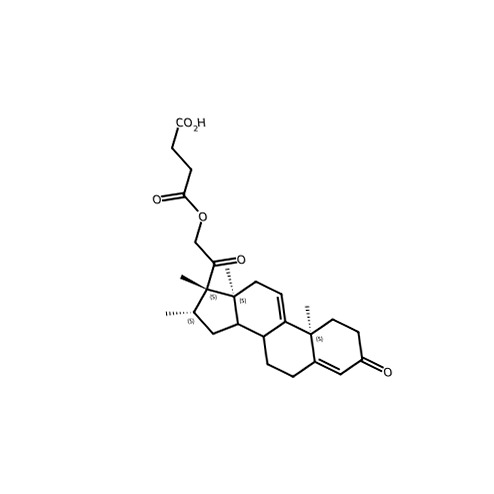 C[C@H]1CC2C3CCC4=CC(=O)CC[C@]4(C)C3=CC[C@]2(C)[C@@]1(C)C(=O)COC(=O)CCC(=O)O